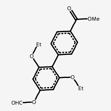 CCOc1cc(OC=O)cc(OCC)c1-c1ccc(C(=O)OC)cc1